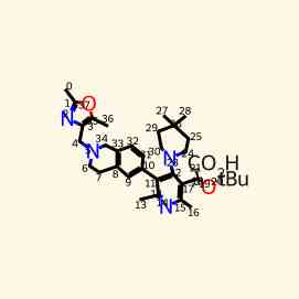 Cc1nc(CN2CCc3cc(-c4c(C)nc(C)c([C@H](OC(C)(C)C)C(=O)O)c4N4CCC(C)(C)CC4)ccc3C2)c(C)o1